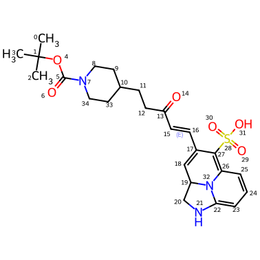 CC(C)(C)OC(=O)N1CCC(CCC(=O)/C=C/C2=CC3CNC4=CC=CC(=C2S(=O)(=O)O)N43)CC1